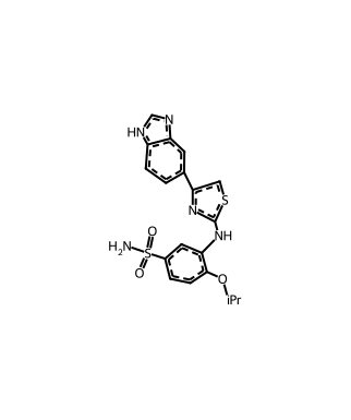 CC(C)Oc1ccc(S(N)(=O)=O)cc1Nc1nc(-c2ccc3[nH]cnc3c2)cs1